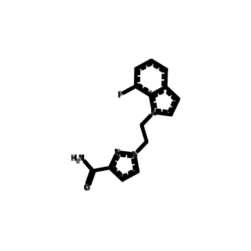 NC(=O)c1[c]cn(CCn2ccc3cccc(F)c32)n1